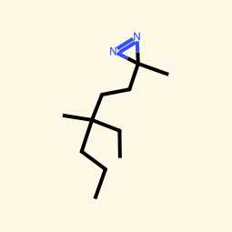 CCCC(C)(CC)CCC1(C)N=N1